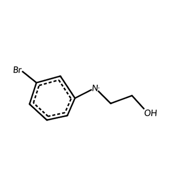 OCC[N]c1cccc(Br)c1